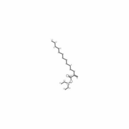 C=C(CCCCCCCCCCCC)C(=O)ON(CC)CC